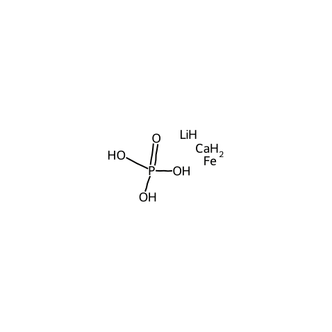 O=P(O)(O)O.[CaH2].[Fe].[LiH]